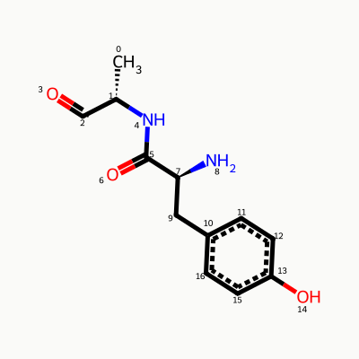 C[C@@H]([C]=O)NC(=O)[C@@H](N)Cc1ccc(O)cc1